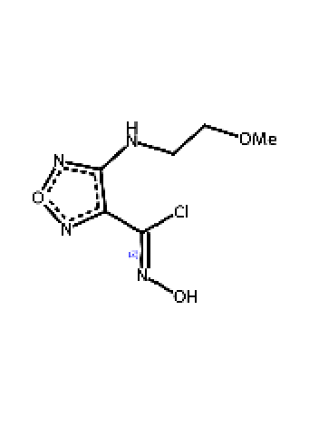 COCCNc1nonc1/C(Cl)=N/O